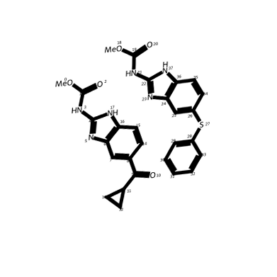 COC(=O)Nc1nc2cc(C(=O)C3CC3)ccc2[nH]1.COC(=O)Nc1nc2cc(Sc3ccccc3)ccc2[nH]1